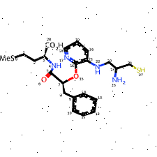 CSCC[C@H](NC(=O)[C@H](Cc1ccccc1)Oc1ncccc1NCC(N)CS)C(=O)O